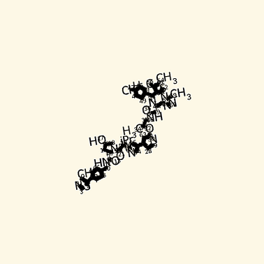 Cc1ncsc1-c1ccc(CNC(=O)[C@@H]2C[C@@H](O)CN2C(=O)[C@H](C(C)C)n2cc(-c3ccnc(O[C@@H](C)CNC(=O)C[C@@H]4N=C(c5ccc(Cl)cc5)c5c(sc(C)c5C)-n5c(C)nnc54)c3)cn2)cc1